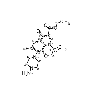 CCOC(=O)c1cn2c3c(c(N4CCN(N)CC4)c(F)cc3c1=O)OC[C@@H]2C